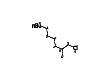 CCCCCCCCC(C)CCl